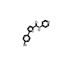 CC(C)c1ccc(-c2ccc(C(=O)Nc3ccncc3)s2)cc1